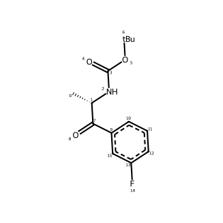 C[C@H](NC(=O)OC(C)(C)C)C(=O)c1cccc(F)c1